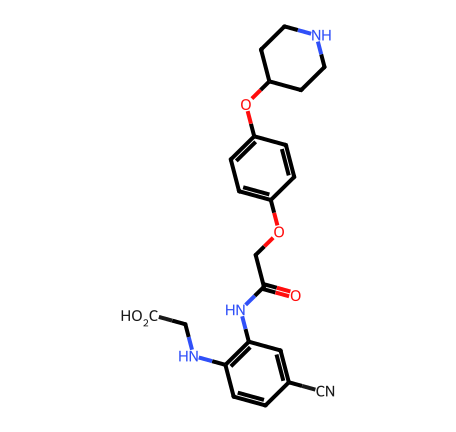 N#Cc1ccc(NCC(=O)O)c(NC(=O)COc2ccc(OC3CCNCC3)cc2)c1